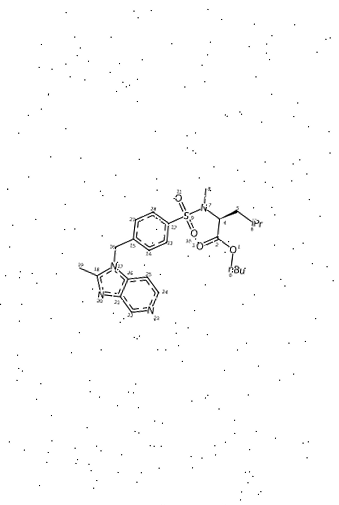 CCCCOC(=O)[C@H](CC(C)C)N(C)S(=O)(=O)c1ccc(Cn2c(C)nc3cnccc32)cc1